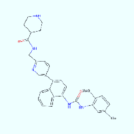 COc1ccc(C(C)(C)C)cc1NC(=O)Nc1ccc(-c2ccc(CNC(=O)C3CCNCC3)nc2)c2ccccc12